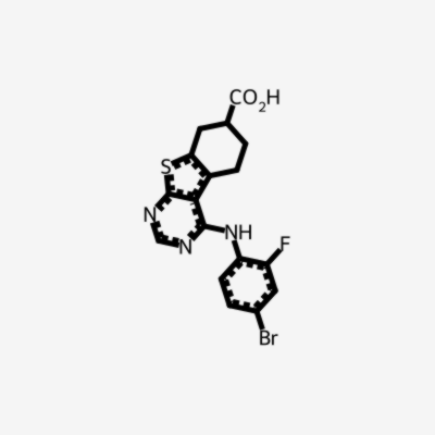 O=C(O)C1CCc2c(sc3ncnc(Nc4ccc(Br)cc4F)c23)C1